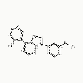 Cc1ccncc1-c1ccnn2c(-c3cccc(OC(F)(F)F)c3)cnc12